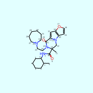 CC1CCCCC1NC(=O)C1(C)Cn2c(cc3occc32)C(=O)N1CCN1CCCCCC1